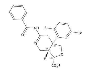 O=C(NC1=NC[C@H]2[C@@H](C(=O)O)OC[C@]2(c2cc(Br)ccc2F)S1)c1ccccc1